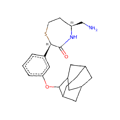 NC[C@@H]1CCS[C@H](c2cccc(OC3C4CC5CC(C4)CC3C5)c2)C(=O)N1